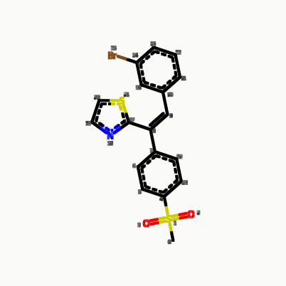 CS(=O)(=O)c1ccc(C(=Cc2cccc(Br)c2)c2nccs2)cc1